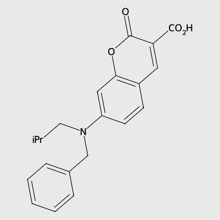 CC(C)CN(Cc1ccccc1)c1ccc2cc(C(=O)O)c(=O)oc2c1